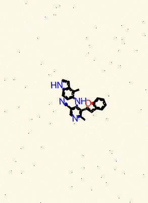 Cc1ncc(C#N)c(Nc2ccc3[nH]ccc3c2C)c1-c1cc2ccccc2o1